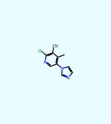 Cc1c(-n2ccnc2)cnc(Cl)c1C#N